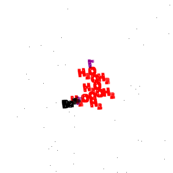 O.O.O.O.O.O.[Ba+2].[I-].[I-]